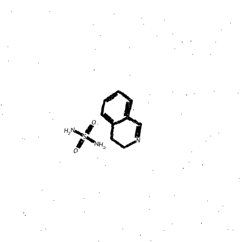 C1=NCCc2ccccc21.NS(N)(=O)=O